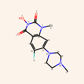 CCn1c(=O)n(O)c(=O)c2cc(F)c(N3CCN(C)CC3)cc21